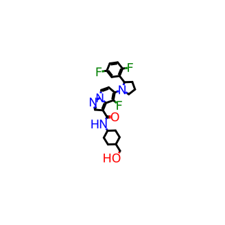 O=C(NC1CCC(CO)CC1)c1cnn2ccc(N3CCCC3c3cc(F)ccc3F)c(F)c12